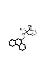 C[C@H](O)C(C)(CO)NCc1cc2ccccc2c2ccccc12